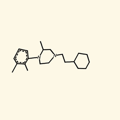 Cc1cccc(N2CCN(CCC3CCCCC3)CC2C)c1C